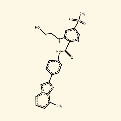 Cc1cccn2cc(-c3ccc(NC(=O)c4ncc(S(C)(=O)=O)cc4NCCO)cc3)nc12